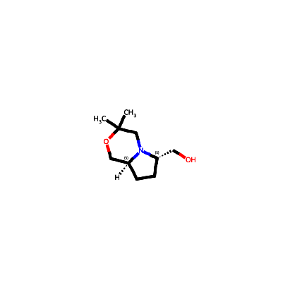 CC1(C)CN2[C@H](CO)CC[C@H]2CO1